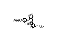 COc1cnc2[nH]cc(Cc3cn[c]nc3Cc3ccc(OC)nc3)c2c1